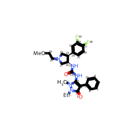 CCn1c(=O)c(-c2ccccc2)c(NC(=O)N[C@@H]2CN(CCOC)C[C@H]2c2ccc(F)c(F)c2)n1C